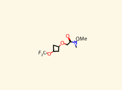 CON(C)C(=O)CO[C@H]1C[C@@H](OC(F)(F)F)C1